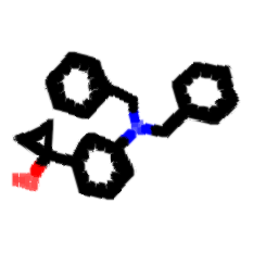 OC1(c2cccc(N(Cc3ccccc3)Cc3ccccc3)c2)CC1